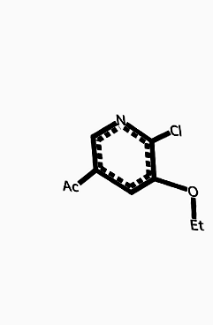 CCOc1cc(C(C)=O)cnc1Cl